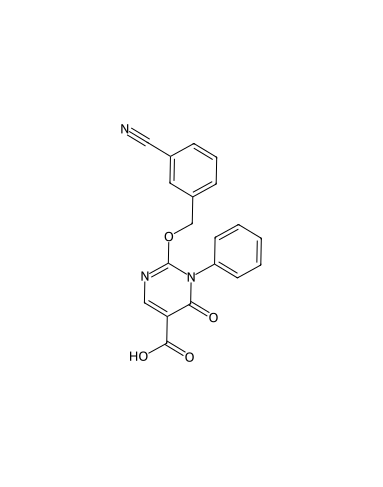 N#Cc1cccc(COc2ncc(C(=O)O)c(=O)n2-c2ccccc2)c1